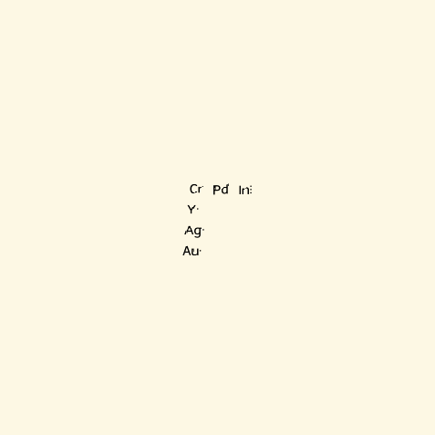 [Ag].[Au].[Cr].[In].[Pd].[Y]